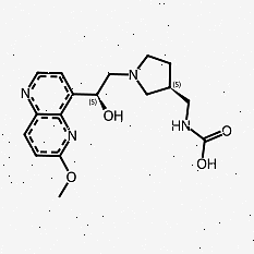 COc1ccc2nccc([C@H](O)CN3CC[C@@H](CNC(=O)O)C3)c2n1